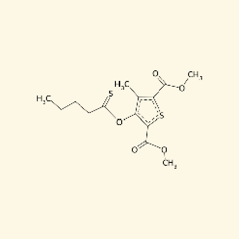 CCCCC(=S)Oc1c(C(=O)OC)sc(C(=O)OC)c1C